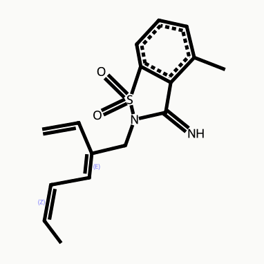 C=C/C(=C\C=C/C)CN1C(=N)c2c(C)cccc2S1(=O)=O